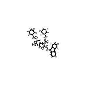 O=C(C[C@@H](C(=O)O)N(C(=O)OCc1ccccc1)C(=O)OCC1c2ccccc2-c2ccccc21)OCc1ccccc1